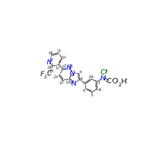 O=C(O)N(Cl)c1cccc(-c2cn3nc(-c4cccnc4C(F)(F)F)ccc3n2)c1